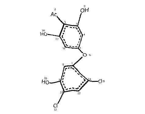 CC(=O)c1c(O)cc(Oc2cc(O)c(Cl)cc2Cl)cc1O